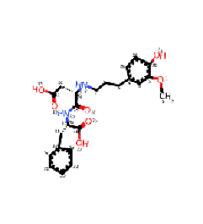 COc1cc(CCCN[C@@H](CC(=O)O)C(=O)N[C@@H](Cc2ccccc2)C(=O)O)ccc1O